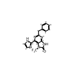 O=c1[nH]c2nc(Cc3ccccc3)nc(-c3ncc[nH]3)c2n1C(F)(F)F